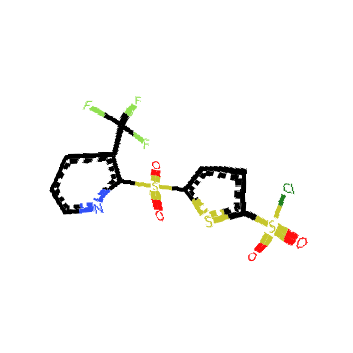 O=S(=O)(Cl)c1ccc(S(=O)(=O)c2ncccc2C(F)(F)F)s1